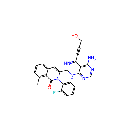 Cc1cccc2cc(CNc3ncnc(N)c3C(=N)C#CCO)n(-c3ccccc3F)c(=O)c12